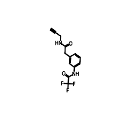 C#CCNC(=O)Cc1cccc(NC(=O)C(F)(F)F)c1